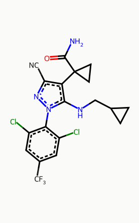 N#Cc1nn(-c2c(Cl)cc(C(F)(F)F)cc2Cl)c(NCC2CC2)c1C1(C(N)=O)CC1